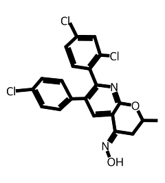 CC1CC(=NO)c2cc(-c3ccc(Cl)cc3)c(-c3ccc(Cl)cc3Cl)nc2O1